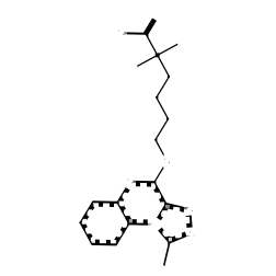 Cc1nnc2c(NCCCCC(C)(C)C(N)=O)nc3ccccc3n12